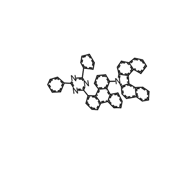 c1ccc(-c2nc(-c3ccccc3)nc(-c3cccc4c5ccccc5c5c(-n6c7ccc8ccccc8c7c7c8ccccc8ccc76)cccc5c34)n2)cc1